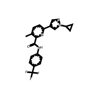 Cc1ccc(-c2cnn(C3CC3)c2)nc1C(=O)Nc1ccc(C(F)(F)F)cc1